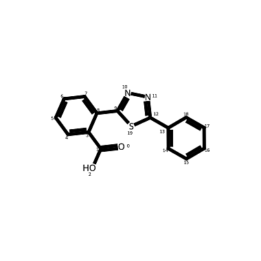 O=C(O)c1ccccc1-c1nnc(-c2ccccc2)s1